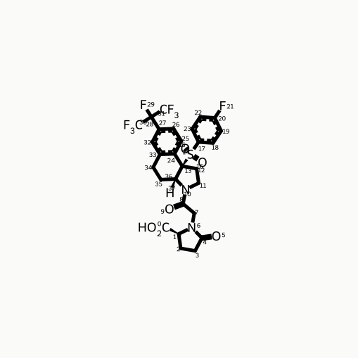 O=C(O)[C@@H]1CCC(=O)N1CC(=O)N1CC[C@@]2(S(=O)(=O)c3ccc(F)cc3)c3ccc(C(F)(C(F)(F)F)C(F)(F)F)cc3CC[C@@H]12